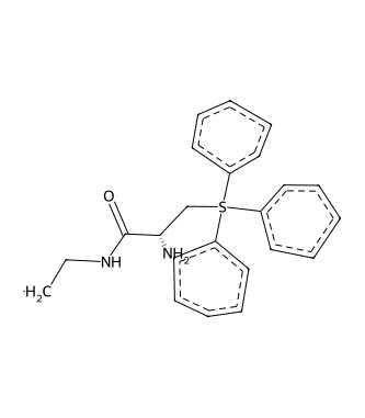 [CH2]CNC(=O)[C@@H](N)CS(c1ccccc1)(c1ccccc1)c1ccccc1